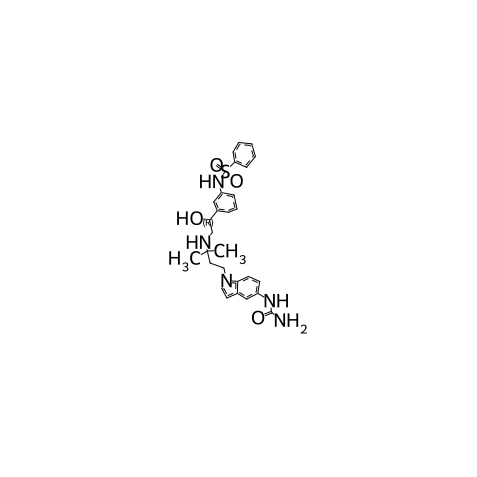 CC(C)(CCn1ccc2cc(NC(N)=O)ccc21)NC[C@H](O)c1cccc(NS(=O)(=O)c2ccccc2)c1